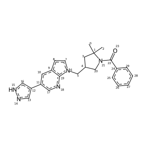 CC1(C)CC(Cn2ccc3cc(-c4cn[nH]c4)cnc32)CN1C(=O)c1ccccc1